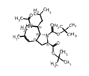 CC(=O)N[C@@H](CC(C)C)[C@H]1[C@H](C=C(C)C)C[C@H](C(=O)OC(C)(C)C)N1C(=O)OC(C)(C)C